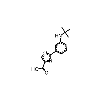 CC(C)(C)Nc1cccc(-c2nc(C(=O)O)co2)c1